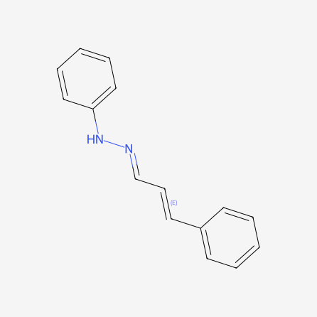 C(/C=C/c1ccccc1)=NNc1ccccc1